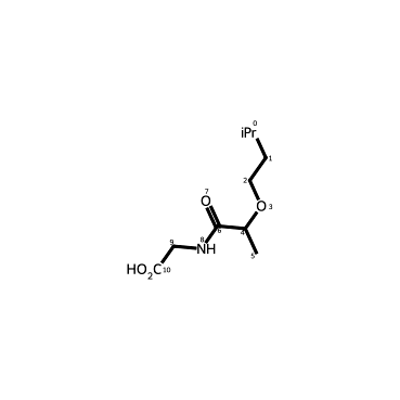 CC(C)CCOC(C)C(=O)NCC(=O)O